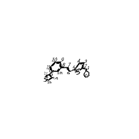 O=Cc1ccc(/C=C/c2cccc(-c3ccsc3)c2)s1